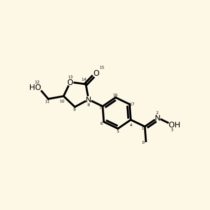 CC(=NO)c1ccc(N2CC(CO)OC2=O)cc1